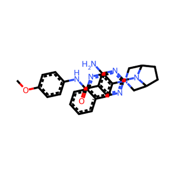 COc1ccc(NC(=O)c2cnc(N3C4CCC3CN(c3cnc5ccccc5c3)C4)nc2N)cc1